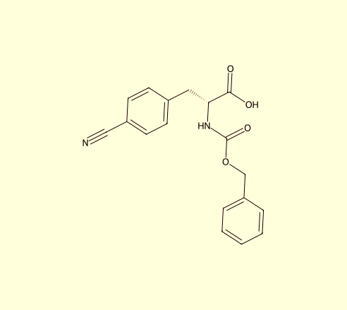 N#Cc1ccc(C[C@@H](NC(=O)OCc2ccccc2)C(=O)O)cc1